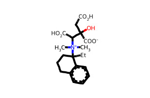 CCC1([N+](C)(C)C(C(=O)O)C(O)(CC(=O)O)C(=O)[O-])CCCc2ccccc21